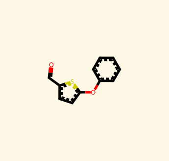 O=Cc1ccc(Oc2ccccc2)s1